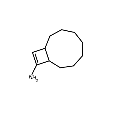 NC1=CC2CCCCCCCC12